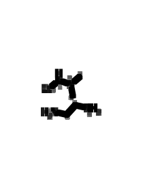 CCNN(C)C.NCCN